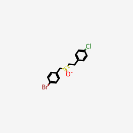 [O-][S+](CCc1ccc(Cl)cc1)Cc1ccc(Br)cc1